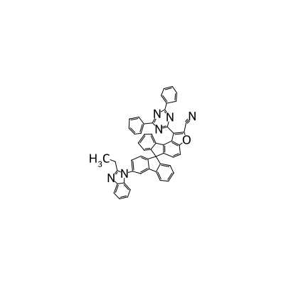 CCc1nc2ccccc2n1-c1ccc2c(c1)-c1ccccc1C21c2ccccc2-c2c1ccc1oc(C#N)c(-c3nc(-c4ccccc4)nc(-c4ccccc4)n3)c21